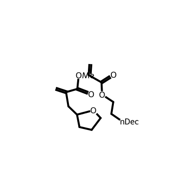 C=C(CC1CCCO1)C(=O)OC.C=CC(=O)OCCCCCCCCCCCC